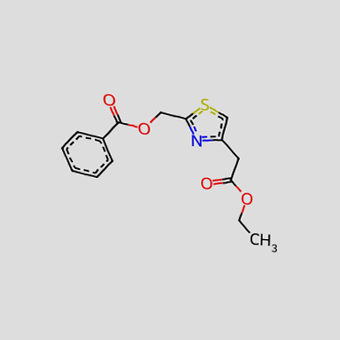 CCOC(=O)Cc1csc(COC(=O)c2ccccc2)n1